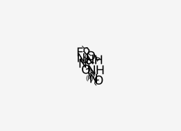 CCC(=O)N1C[C@H](NC(=O)c2c(C)[nH]c3c(-c4c(OCC5CC5)ccc(C)c4F)ncnc23)C[C@H]1C